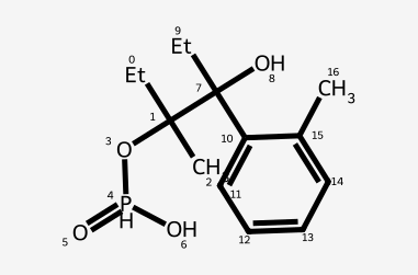 CCC(C)(O[PH](=O)O)C(O)(CC)c1ccccc1C